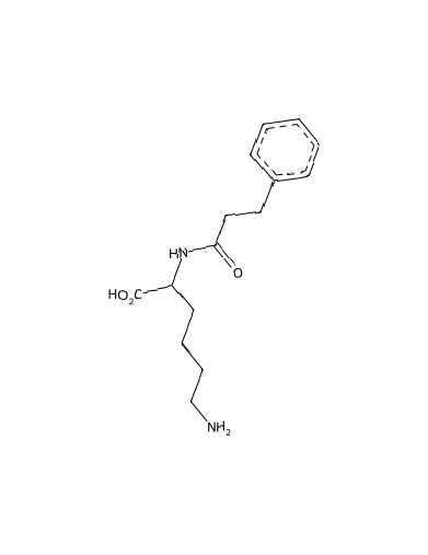 NCCCCC(NC(=O)CCc1ccccc1)C(=O)O